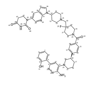 Nc1nnc(-c2ccccc2O)cc1N1CCC[C@H](c2ccc(C(=O)N3CCC(F)(CN4CCC(n5ccc6cc(N7CCC(=O)NC7=O)cnc65)CC4)CC3)cc2)C1